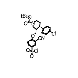 CC(C)(C)OC(=O)N1CC[C@@H](c2ccc(Cl)cc2)[C@H](COc2ccc(S(=O)(=O)Cl)cc2C#N)C1